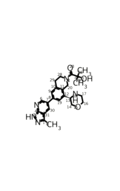 Cc1n[nH]c2ncc(-c3cc4c(c([C@@H]5COCCN5)c3)CN(C(=O)C(C)(C)O)CC4)cc12